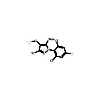 COc1c(SC(F)(F)F)c(C#N)nn1-c1c(Cl)cc(Cl)cc1Cl